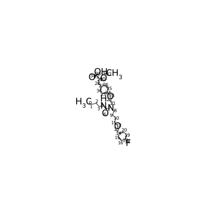 CCCCNC(=O)N(CCCCOCc1ccc(F)cc1)CCOc1ccc(CC(OCC)C(=O)O)cc1